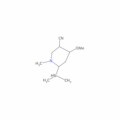 COC1CC([SiH](C)C)N(C)CC1C#N